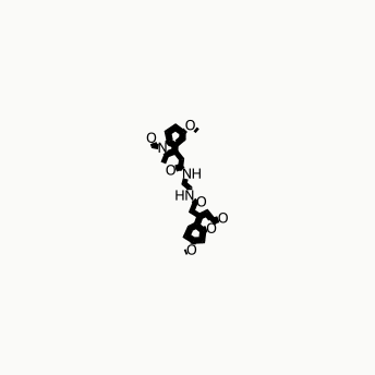 COc1ccc2c(CC(=O)NCCNC(=O)Cc3c(C)n(C=O)c4ccc(OC)cc34)cc(=O)oc2c1